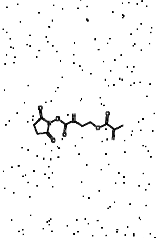 C=C(C)C(=O)OCCNC(=O)ON1C(=O)CCC1=O